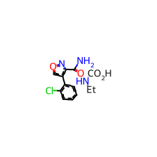 CCNC(=O)O.NC(=O)c1nocc1-c1ccccc1Cl